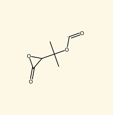 CC(C)(O[C]=O)C1OC1=O